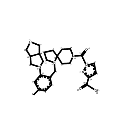 Cc1ccc(CN2CCCC23CCN(C(=O)n2ccc(C(=O)O)n2)CC3)c(N2CC3COCC3C2)c1